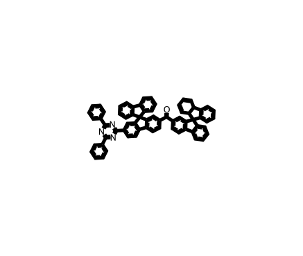 O=C(c1ccc2c(c1)C1(c3ccccc3-c3ccccc31)c1cc(-c3nc(-c4ccccc4)nc(-c4ccccc4)n3)ccc1-2)c1ccc2c(c1)C1(c3ccccc3-2)c2ccccc2C2C=CC=CC21